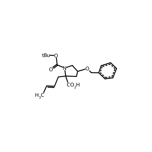 CC=CCC1(C(=O)O)CC(OCc2ccccc2)CN1C(=O)OC(C)(C)C